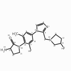 Cc1cc(-n2ccnc2CN2CCC(F)C2)cc(F)c1N1CCC(N)C1=O